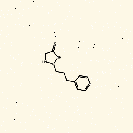 O=C1CNN(CCCc2ccccc2)N1